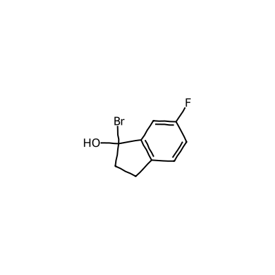 OC1(Br)CCc2ccc(F)cc21